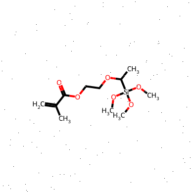 C=C(C)C(=O)OCCOC(C)[Si](OC)(OC)OC